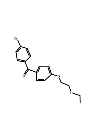 CCOCCOc1ccc(C(=O)c2ccc(Br)cc2)cc1